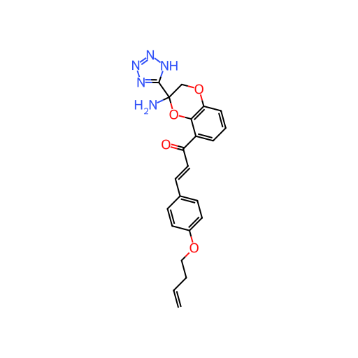 C=CCCOc1ccc(C=CC(=O)c2cccc3c2OC(N)(c2nnn[nH]2)CO3)cc1